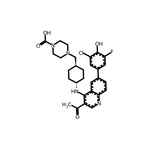 CC(=O)c1cnc2ccc(-c3cc(F)c(O)c(Cl)c3)cc2c1N[C@H]1CC[C@H](CN2CCN(C(=O)O)CC2)CC1